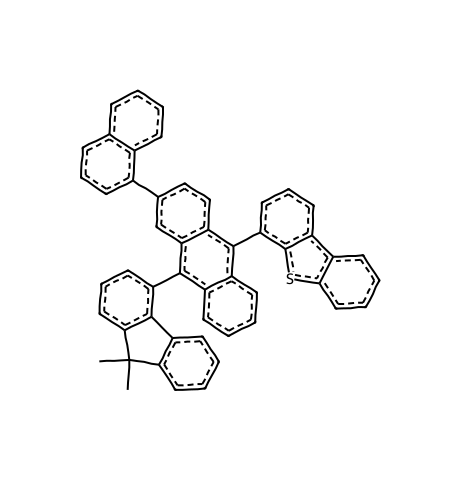 CC1(C)c2ccccc2-c2c(-c3c4ccccc4c(-c4cccc5c4sc4ccccc45)c4ccc(-c5cccc6ccccc56)cc34)cccc21